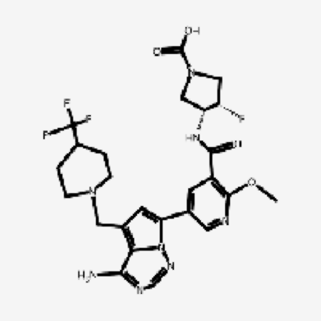 COc1ncc(-c2cc(CN3CCC(C(F)(F)F)CC3)c3c(N)ncnn23)cc1C(=O)N[C@@H]1CN(C(=O)O)C[C@@H]1F